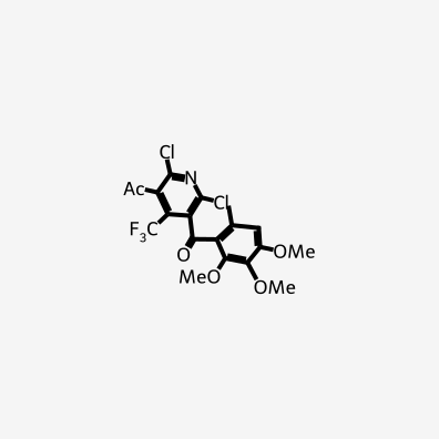 COc1cc(C)c(C(=O)c2c(Cl)nc(Cl)c(C(C)=O)c2C(F)(F)F)c(OC)c1OC